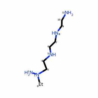 CCN(N)CCNCCNCCN